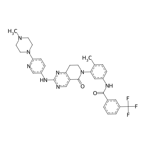 Cc1ccc(NC(=O)c2cccc(C(F)(F)F)c2)cc1N1CCc2nc(Nc3ccc(N4CCN(C)CC4)nc3)ncc2C1=O